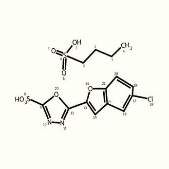 CCCCS(=O)(=O)O.O=S(=O)(O)c1nnc(-c2cc3cc(Cl)ccc3o2)o1